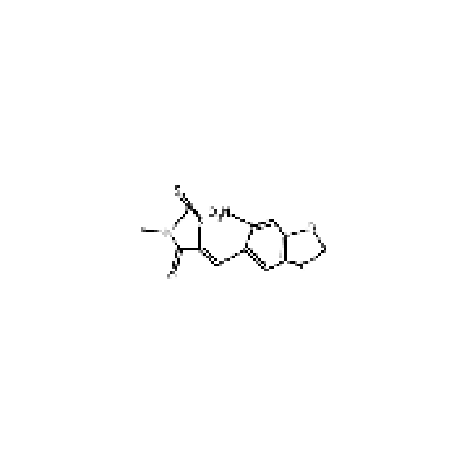 CN1C(=O)C(=Cc2cc3c(cc2[N+](=O)[O-])OCO3)SC1=S